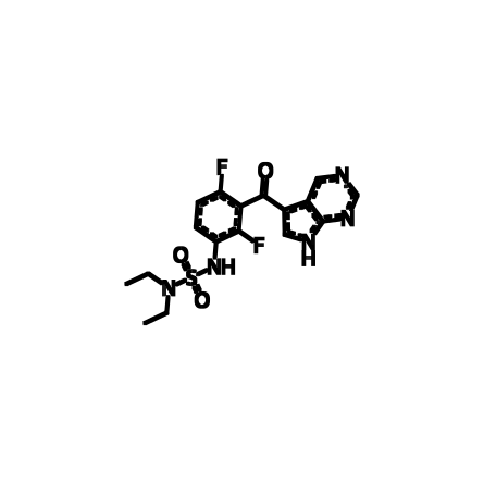 CCN(CC)S(=O)(=O)Nc1ccc(F)c(C(=O)c2c[nH]c3ncncc23)c1F